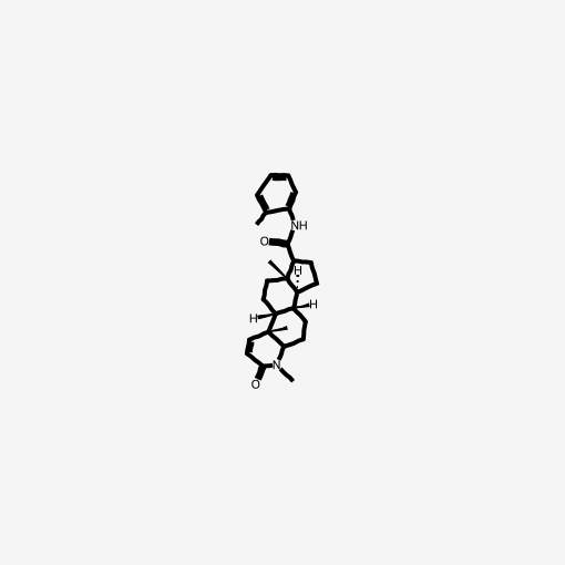 Cc1ccccc1NC(=O)C1CC[C@H]2[C@@H]3CCC4N(C)C(=O)C=C[C@]4(C)[C@@H]3CC[C@]12C